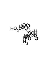 CC(C)(N)C(=O)NC(Cc1c[nH]c2ccccc12)C(=O)N1CCC2(CC1)C[C@@H](N(CC(=O)O)S(C)(=O)=O)c1ccccc12